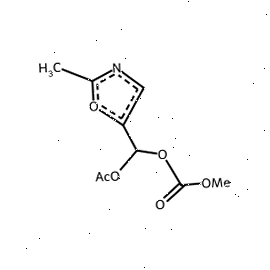 COC(=O)OC(OC(C)=O)c1cnc(C)o1